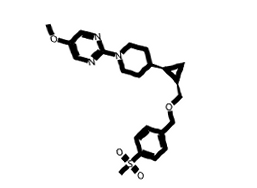 COc1cnc(N2CCC([C@H]3C[C@H]3COCc3ccc(S(C)(=O)=O)cc3)CC2)nc1